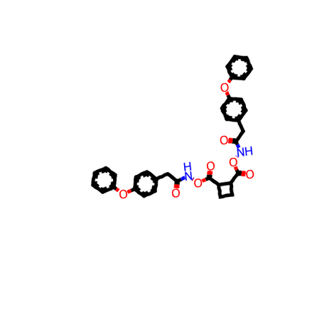 O=C(Cc1ccc(Oc2ccccc2)cc1)NOC(=O)C1CCC1C(=O)ONC(=O)Cc1ccc(Oc2ccccc2)cc1